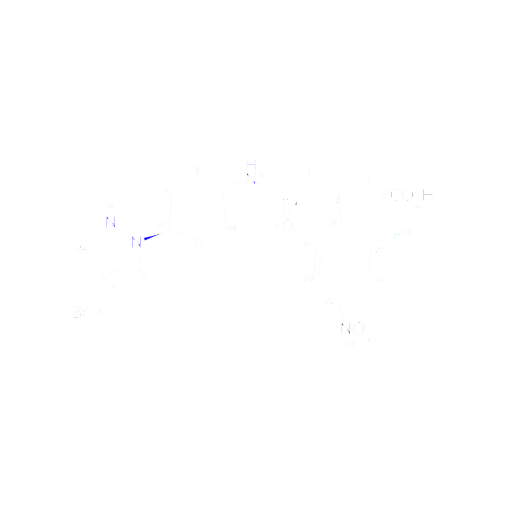 O=C(O)CC(CC(=O)N[C@H]1CC[C@H](n2cc(Br)cn2)CC1)c1ccc([N+](=O)[O-])cc1F